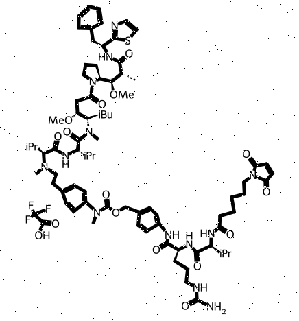 CC[C@H](C)[C@@H]([C@@H](CC(=O)N1CCC[C@H]1[C@H](OC)[C@@H](C)C(=O)N[C@@H](Cc1ccccc1)c1nccs1)OC)N(C)C(=O)[C@@H](NC(=O)[C@H](C(C)C)N(C)CCc1ccc(N(C)C(=O)OCc2ccc(NC(=O)[C@H](CCCNC(N)=O)NC(=O)[C@@H](NC(=O)CCCCCN3C(=O)C=CC3=O)C(C)C)cc2)cc1)C(C)C.O=C(O)C(F)(F)F